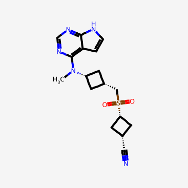 CN(c1ncnc2[nH]ccc12)[C@H]1C[C@@H](CS(=O)(=O)[C@H]2C[C@@H](C#N)C2)C1